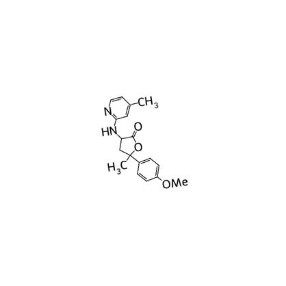 COc1ccc(C2(C)CC(Nc3cc(C)ccn3)C(=O)O2)cc1